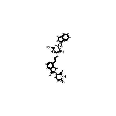 CC(=O)N[C@@H](CCCc1cccc2c1CN(C1CCC(=O)NC1=O)C2=O)C(=O)NC[C@@H]1CCc2ccccc21